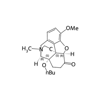 CCCCO[C@@]12CCC(=O)[C@@H]3Oc4c(OC)ccc5c4[C@@]31CCN(C)[C@@H]2C5